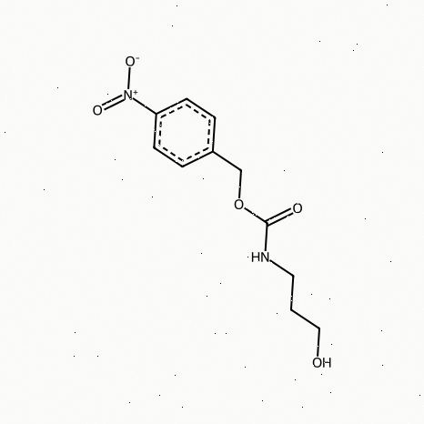 O=C(NCCCO)OCc1ccc([N+](=O)[O-])cc1